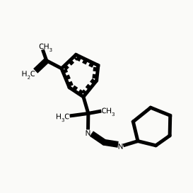 C=C(C)c1cccc(C(C)(C)N=C=NC2CCCCC2)c1